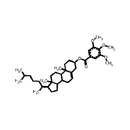 COc1cc(C(=O)OC2CCC3(C)C(=CCC4C3CCC3(C)C(C(C)CCCC(C)C)CCC43)C2)cc(OC)c1OC